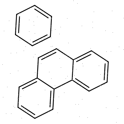 c1ccc2c(c1)ccc1ccccc12.c1ccccc1